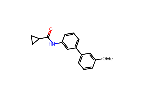 COc1cccc(-c2cccc(NC(=O)C3CC3)c2)c1